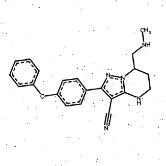 CNCC1CCNc2c(C#N)c(-c3ccc(Oc4ccccc4)cc3)nn21